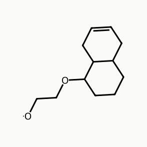 [O]CCOC1CCCC2CC=CCC21